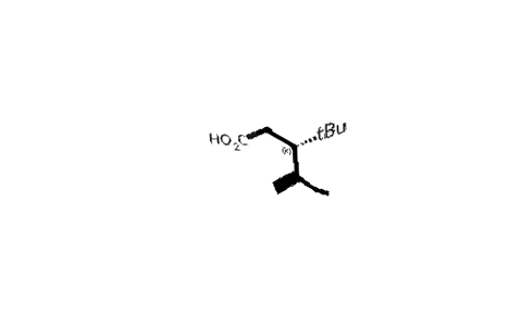 C=C(C)[C@H](CC(=O)O)C(C)(C)C